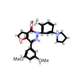 COc1cc(OC)cc(-c2nn(-c3cc(N4CCCC4)ccc3C(F)(F)F)c(=O)c3c2OCC3)c1